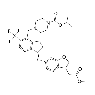 COC(=O)CC1COc2cc(O[C@@H]3CCc4c3ccc(C(F)(F)F)c4CN3CCN(C(=O)OC(C)C)CC3)ccc21